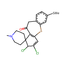 CSc1ccc2c(c1)SC1=C(C(=O)C2)C2(CCN(C)CC2)C(Cl)C(Cl)=C1